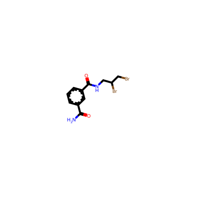 NC(=O)c1cccc(C(=O)NCC(Br)CBr)c1